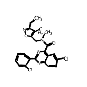 CCc1noc(CN(C)C(=O)c2nc(-c3ccccc3Cl)nc3ccc(Cl)cc23)c1C